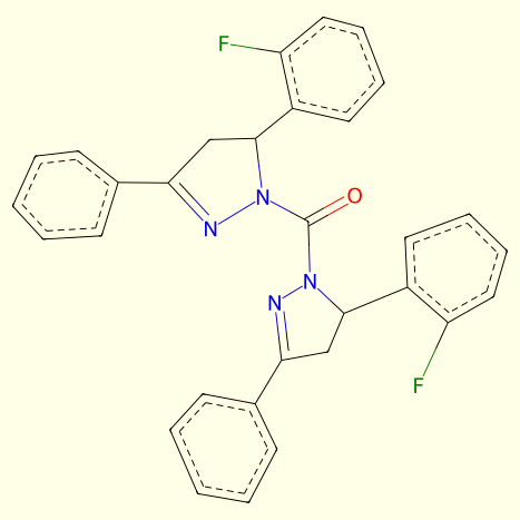 O=C(N1N=C(c2ccccc2)CC1c1ccccc1F)N1N=C(c2ccccc2)CC1c1ccccc1F